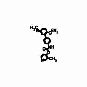 COc1ccc(OC)c(-c2ccc(NC(=O)Oc3ccncc3C)cc2)c1